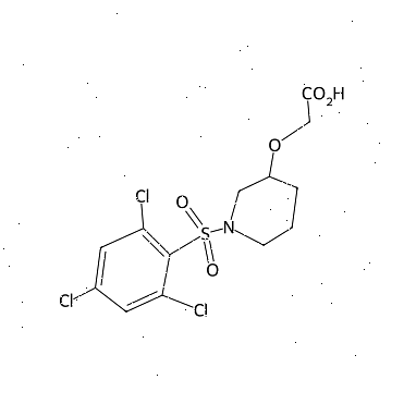 O=C(O)COC1CCCN(S(=O)(=O)c2c(Cl)cc(Cl)cc2Cl)C1